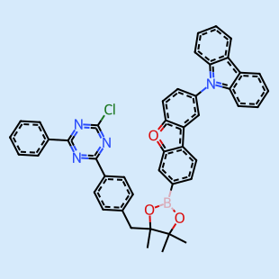 CC1(C)OB(c2ccc3c(c2)oc2ccc(-n4c5ccccc5c5ccccc54)cc23)OC1(C)Cc1ccc(-c2nc(Cl)nc(-c3ccccc3)n2)cc1